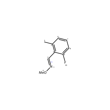 CO/N=C/c1c(C)cccc1F